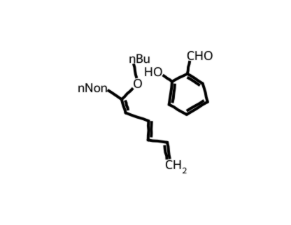 C=C/C=C/C=C(/CCCCCCCCC)OCCCC.O=Cc1ccccc1O